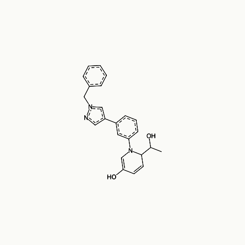 CC(O)C1C=CC(O)=CN1c1cccc(-c2cnn(Cc3ccccc3)c2)c1